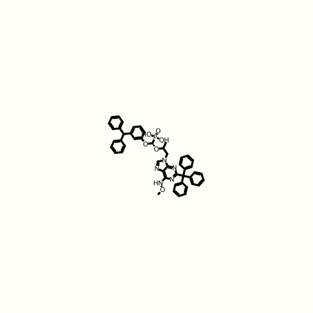 CONc1nc(C(c2ccccc2)(c2ccccc2)c2ccccc2)nc2c1ncn2CC(C)O[C@@H](Oc1cccc(C(c2ccccc2)c2ccccc2)c1)P(=O)(O)O